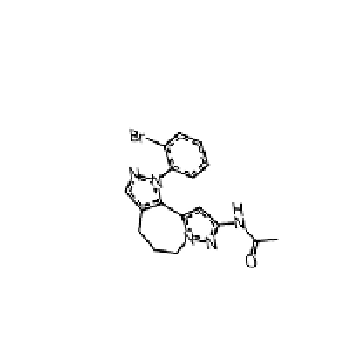 CC(=O)Nc1cc2n(n1)CCCc1cnn(-c3ccccc3Br)c1-2